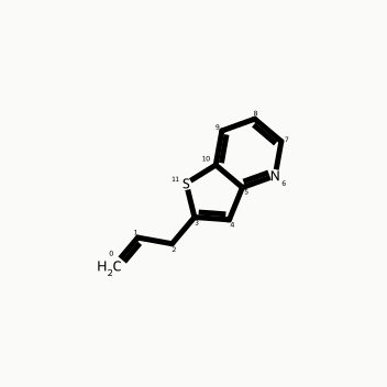 C=CCc1cc2ncccc2s1